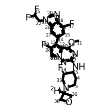 [2H]C1(N2CC[C@H](Nc3nc(OC)c4c(-c5cc(F)c6ncn(CC(F)F)c6c5)c(F)cn4n3)[C@H](F)C2)COC1